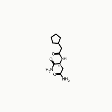 NC(=O)C[C@H](NC(=O)CC1CCCC1)C(N)=O